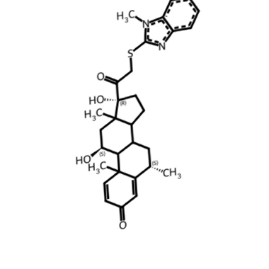 C[C@H]1CC2C([C@@H](O)CC3(C)C2CC[C@]3(O)C(=O)CSc2nc3ccccc3n2C)C2(C)C=CC(=O)C=C12